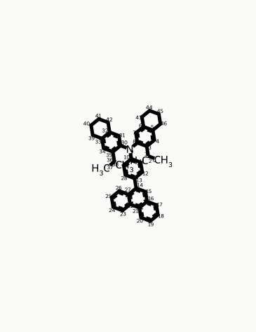 CC(C)c1cc2c(cc1N(c1ccc(-c3cc4ccccc4c4ccccc34)cc1)c1cc3c(cc1C(C)C)CCCC3)CCCC2